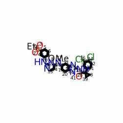 CCS(=O)(=O)c1ccc(OC)c(Nc2nccc(N(C)c3ccc4c(c3)nc(NC(=O)C3(c5ccc(Cl)c(Cl)c5)CC3)n4C)n2)c1